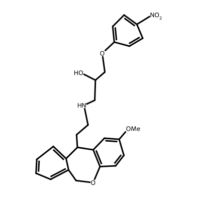 COc1ccc2c(c1)C(CCNCC(O)COc1ccc([N+](=O)[O-])cc1)c1ccccc1CO2